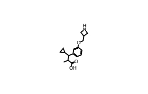 CC(C(=O)O)C(c1cccc(OCC2CNC2)c1)C1CC1